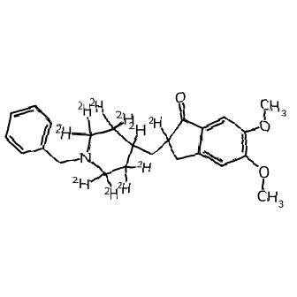 [2H]C1(CC2([2H])C([2H])([2H])C([2H])([2H])N(Cc3ccccc3)C([2H])([2H])C2([2H])[2H])Cc2cc(OC)c(OC)cc2C1=O